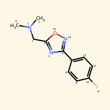 CN(C)Cc1nc(-c2ccc(F)cc2)no1